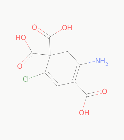 NC1=C(C(=O)O)C=C(Cl)C(C(=O)O)(C(=O)O)C1